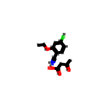 CC(=O)CC(=O)O.CCOc1cc(Cl)ccc1C#N